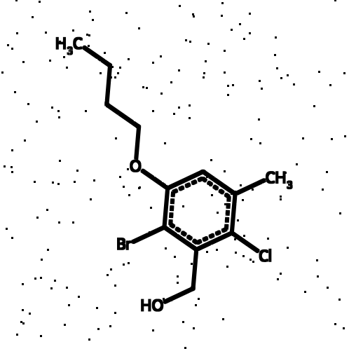 CCCCOc1cc(C)c(Cl)c(CO)c1Br